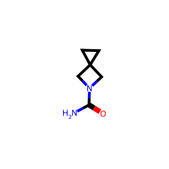 NC(=O)N1CC2(CC2)C1